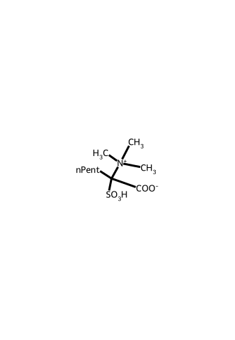 CCCCCC(C(=O)[O-])([N+](C)(C)C)S(=O)(=O)O